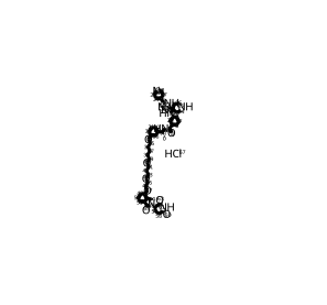 C[C@@H](NC(=O)c1cccc(NC2(c3nnc(-c4ccncc4)[nH]3)CCNCC2)c1)c1cccc(OCCCCCOCCCOCCOc2cccc3c2CN(C2CCC(=O)NC2=O)C3=O)c1.Cl